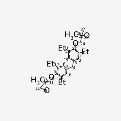 CCc1cc(Cc2cc(CC)c(OCC3(C)CO3)c(CC)c2)cc(CC)c1OCC1(C)CO1